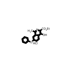 CCOC(=O)c1nc(C)c2cc(Oc3ccccc3)ccc2c1O.Cl